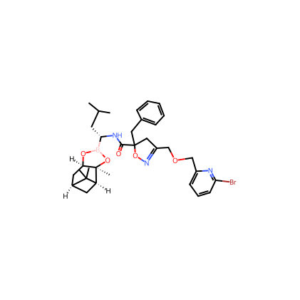 CC(C)C[C@H](NC(=O)C1(Cc2ccccc2)CC(COCc2cccc(Br)n2)=NO1)B1O[C@@H]2C[C@@H]3C[C@@H](C3(C)C)[C@]2(C)O1